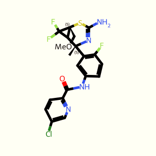 COC[C@@]12SC(N)=N[C@](C)(c3cc(NC(=O)c4ccc(Cl)cn4)ccc3F)C1C2(F)F